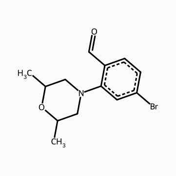 CC1CN(c2cc(Br)ccc2C=O)CC(C)O1